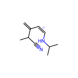 C=C(/C=C\NC(C)C)C(C)C#N